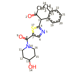 CC(=O)C(c1ncc(C(=O)N2CCC(O)CC2)s1)c1ccccc1C